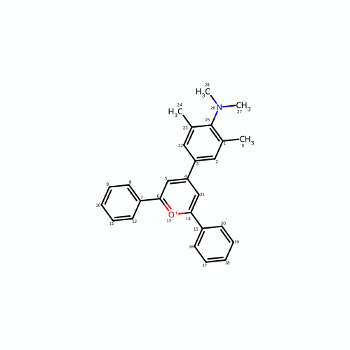 Cc1cc(-c2cc(-c3ccccc3)[o+]c(-c3ccccc3)c2)cc(C)c1N(C)C